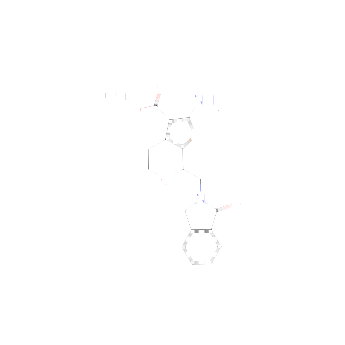 CC(C)(C)OC(=O)c1c(N)sc2c1CCOC2CN1Cc2ccccc2C1=O